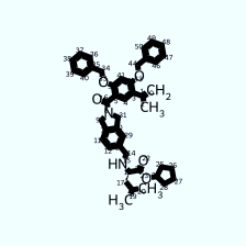 C=C(C)c1cc(C(=O)N2Cc3ccc(CN[C@@H](CC(C)C)C(=O)OC4CCCC4)cc3C2)c(OCc2ccccc2)cc1OCc1ccccc1